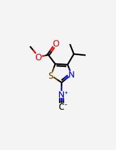 [C-]#[N+]c1nc(C(C)C)c(C(=O)OC)s1